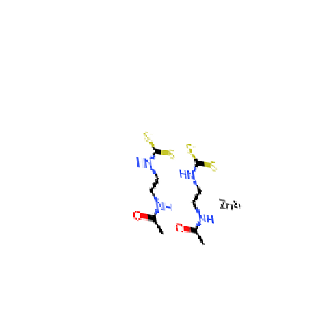 CC(=O)NCCNC(=S)[S-].CC(=O)NCCNC(=S)[S-].[Zn+2]